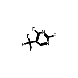 Fc1n[c]c(C(F)(F)F)c(F)n1